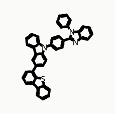 c1ccc(-n2c(-c3ccc(-n4c5ccccc5c5cc(-c6cccc7c6sc6ccccc67)ccc54)cc3)nc3ccccc32)cc1